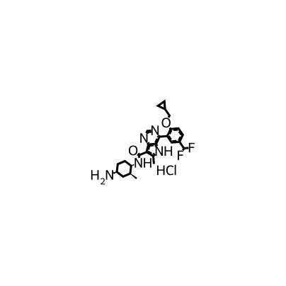 Cc1[nH]c2c(-c3cc(C(F)F)ccc3OCC3CC3)ncnc2c1C(=O)N[C@H]1CC[C@H](N)C[C@@H]1C.Cl